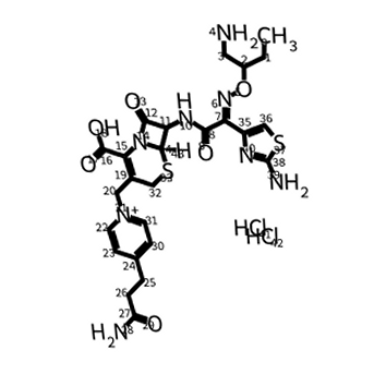 CCC(CN)ON=C(C(=O)NC1C(=O)N2C(C(=O)O)=C(C[n+]3ccc(CCC(N)=O)cc3)CS[C@@H]12)c1csc(N)n1.Cl.Cl